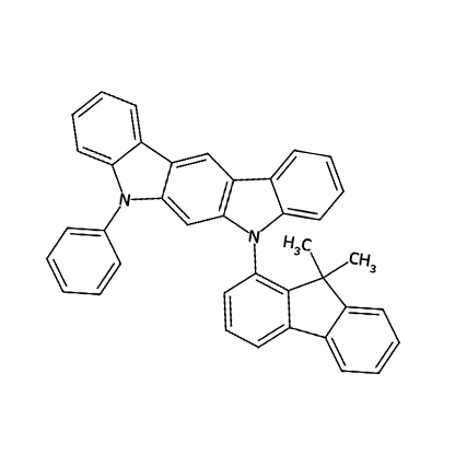 CC1(C)c2ccccc2-c2cccc(-n3c4ccccc4c4cc5c6ccccc6n(-c6ccccc6)c5cc43)c21